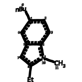 CCCCc1ccc2c(c1)cc(CC)n2C